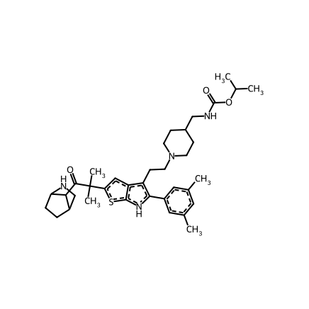 Cc1cc(C)cc(-c2[nH]c3sc(C(C)(C)C(=O)C4C5CCC4NC5)cc3c2CCN2CCC(CNC(=O)OC(C)C)CC2)c1